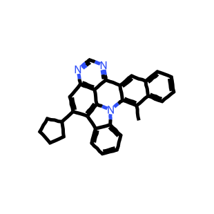 Cc1c2ccccc2cc2c3ncnc4cc(C5CCCC5)c5c6ccccc6n(c12)c5c43